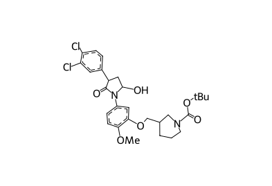 COc1ccc(N2C(=O)C(c3ccc(Cl)c(Cl)c3)CC2O)cc1OCC1CCCN(C(=O)OC(C)(C)C)C1